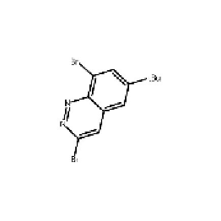 CC(C)(C)c1cc(Br)c2nnc(Br)cc2c1